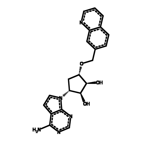 Nc1ncnc2c1ccn2[C@@H]1C[C@H](OCc2ccc3cccnc3c2)[C@@H](O)[C@H]1O